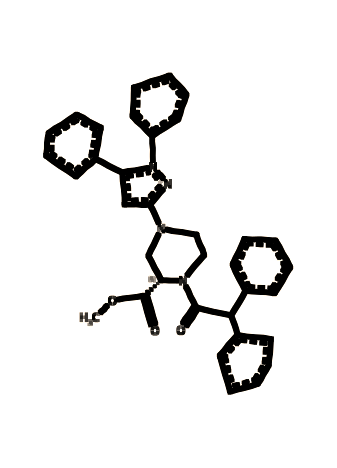 COC(=O)[C@@H]1CN(c2cc(-c3ccccc3)n(-c3ccccc3)n2)CCN1C(=O)C(c1ccccc1)c1ccccc1